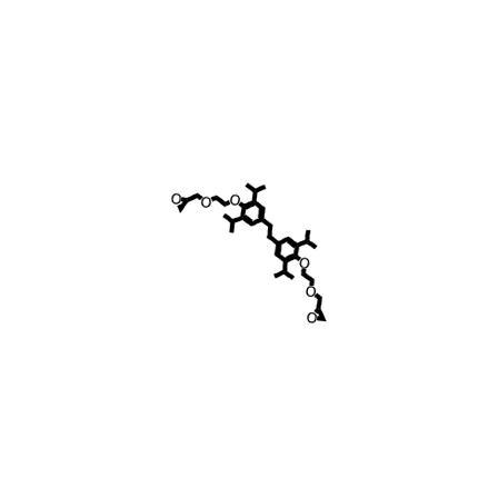 CC(C)c1cc(CCc2cc(C(C)C)c(OCCOCC3CO3)c(C(C)C)c2)cc(C(C)C)c1OCCOCC1CO1